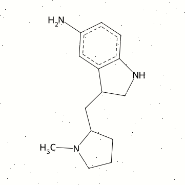 CN1CCCC1CC1CNc2ccc(N)cc21